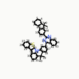 CC1(C)c2ccccc2-c2ccc(-c3nc(-c4ccc5c(c4)-n4c6sc7ccccc7c6c6cccc(c64)C5(C)C)c4ccccc4n3)cc21